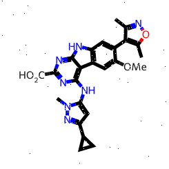 COc1cc2c(cc1-c1c(C)noc1C)[nH]c1nc(C(=O)O)nc(Nc3cc(C4CC4)nn3C)c12